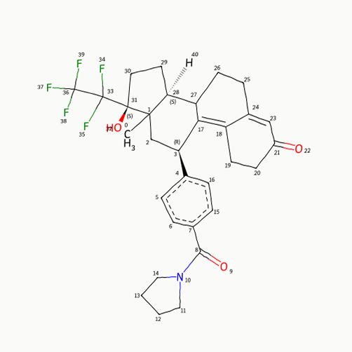 CC12C[C@H](c3ccc(C(=O)N4CCCC4)cc3)C3=C4CCC(=O)C=C4CCC3[C@@H]1CC[C@@]2(O)C(F)(F)C(F)(F)F